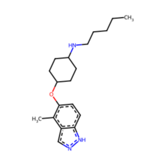 CCCCCNC1CCC(Oc2ccc3[nH]ncc3c2C)CC1